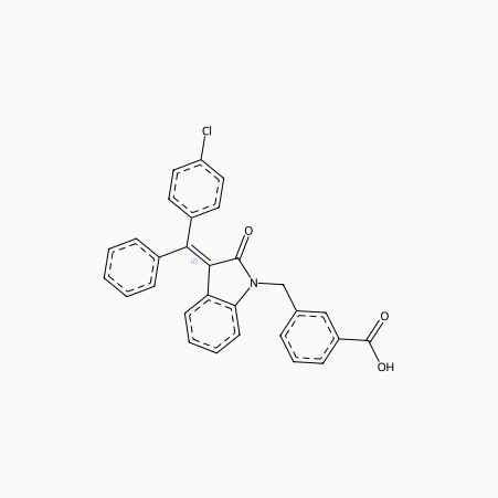 O=C(O)c1cccc(CN2C(=O)/C(=C(/c3ccccc3)c3ccc(Cl)cc3)c3ccccc32)c1